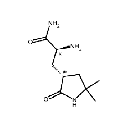 CC1(C)C[C@@H](C[C@H](N)C(N)=O)C(=O)N1